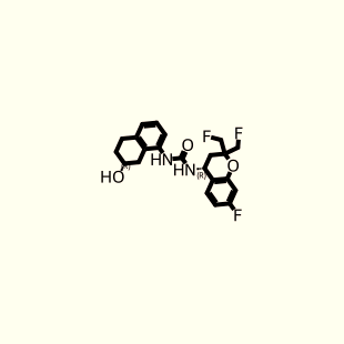 O=C(Nc1cccc2c1C[C@H](O)CC2)N[C@@H]1CC(CF)(CF)Oc2cc(F)ccc21